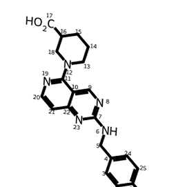 Cc1ccc(CNc2ncc3c(N4CCCC(C(=O)O)C4)nccc3n2)cc1